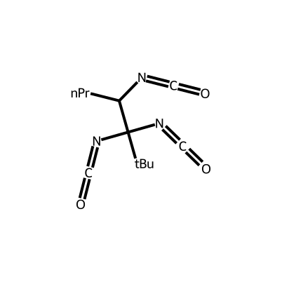 CCCC(N=C=O)C(N=C=O)(N=C=O)C(C)(C)C